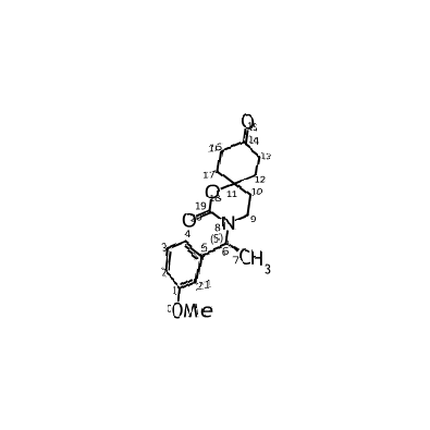 COc1cccc([C@H](C)N2CCC3(CCC(=O)CC3)OC2=O)c1